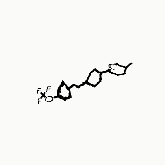 CC1CCC(C2CCC(CCc3ccc(OC(F)(F)F)cc3)CC2)CC1